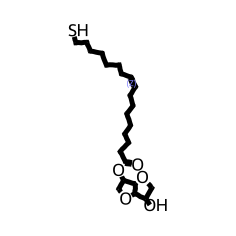 O=C(CCCCCCC/C=C\CCCCCCCS)OC1COC2C(O)COC12